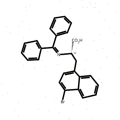 O=C(O)[C@H](Cc1ccc(Br)c2ccccc12)N=C(c1ccccc1)c1ccccc1